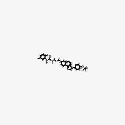 Cc1ccc(C)c(NC(=O)NS/N=C/c2ccc3c(ccc4c3ncn4-c3ccc(OC(F)(F)F)cc3)c2)c1